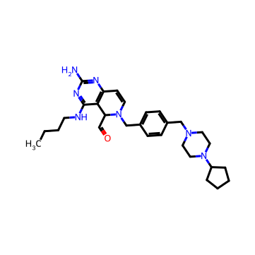 CCCCNc1nc(N)nc2c1C(C=O)N(Cc1ccc(CN3CCN(C4CCCC4)CC3)cc1)C=C2